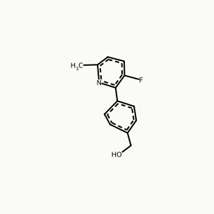 Cc1ccc(F)c(-c2ccc(CO)cc2)n1